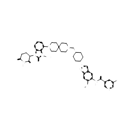 COc1cc2nn([C@H]3CC[C@H](CN4CCC5(CC4)CCN(c4cccc6c4n(C)c(=O)n6C4CCC(=O)NC4=O)CC5)CC3)cc2cc1NC(=O)c1cncc(F)c1